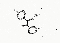 O=C(/C(=N/O)c1ccc(F)cc1)c1ccnc(F)c1